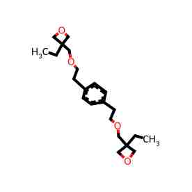 CCC1(COCCc2ccc(CCOCC3(CC)COC3)cc2)COC1